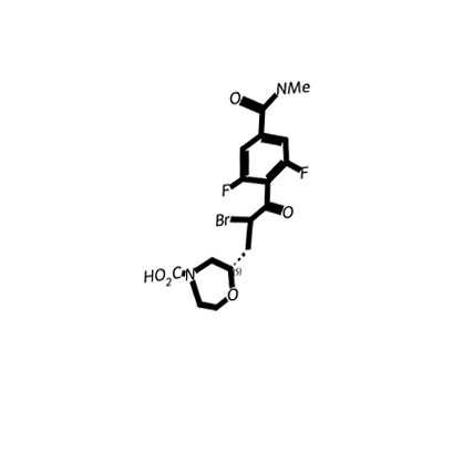 CNC(=O)c1cc(F)c(C(=O)C(Br)C[C@H]2CN(C(=O)O)CCO2)c(F)c1